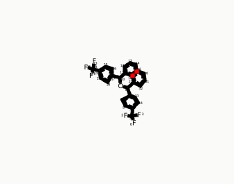 FC(F)(F)c1ccc(C(OC(c2ccccc2)c2ccc(C(F)(F)F)cc2)c2ccccc2)cc1